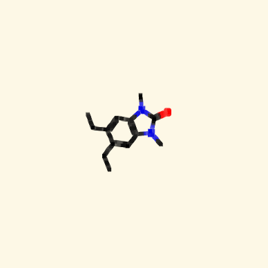 CCc1cc2c(cc1CC)n(C)c(=O)n2C